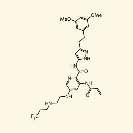 C=CC(=O)Nc1cc(NCCNCCC(F)(F)F)cnc1C(=O)Nc1cc(CCc2cc(OC)cc(OC)c2)n[nH]1